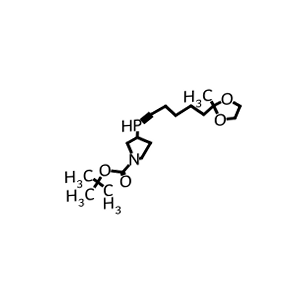 CC(C)(C)OC(=O)N1CCC([PH]#CCCCCC2(C)OCCO2)C1